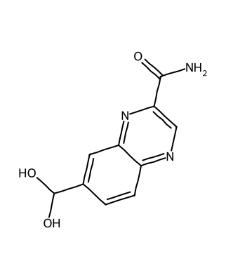 NC(=O)c1cnc2ccc(C(O)O)cc2n1